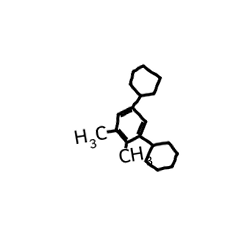 Cc1cc(C2CCCCC2)cc(C2CCCCC2)c1C